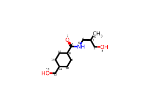 CC(CO)CNC(=O)C1CCC(CO)CC1